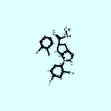 Cc1c(F)cccc1[C@]1(C(=O)NO)Cc2cnn(-c3ccc(F)cc3F)c2C1